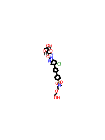 CN(CCOCCO)S(=O)(=O)c1ccc(-c2ccc(-c3cc4nc(O[C@@H]5CO[C@H]6[C@@H]5OC[C@H]6O)[nH]c4cc3Cl)cc2)cc1